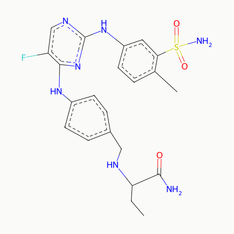 CCC(NCc1ccc(Nc2nc(Nc3ccc(C)c(S(N)(=O)=O)c3)ncc2F)cc1)C(N)=O